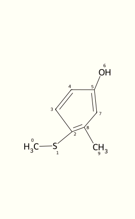 CSc1ccc(O)cc1C